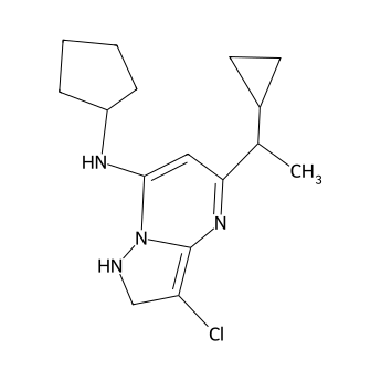 CC(C1=NC2=C(Cl)CNN2C(NC2CCCC2)=C1)C1CC1